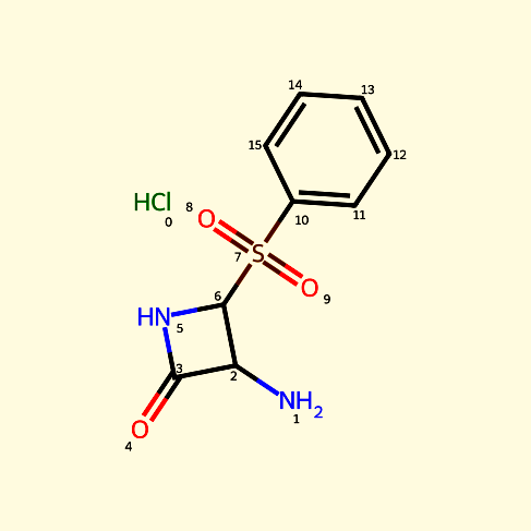 Cl.NC1C(=O)NC1S(=O)(=O)c1ccccc1